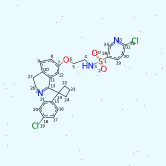 O=S(=O)(NCCOc1ccc2c(c1)C(C1(c3ccc(Cl)cc3)CCC1)=NCC2)c1ccc(Cl)nc1